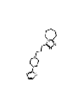 c1csc(C2CCN(CCCc3nnc4n3CCCCC4)CC2)c1